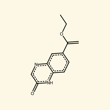 C=C(OCC)c1ccc2[nH]c(=O)cnc2c1